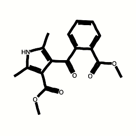 COC(=O)c1ccccc1C(=O)c1c(C)[nH]c(C)c1C(=O)OC